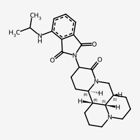 CC(C)Nc1cccc2c1C(=O)N(C1CC[C@@H]3[C@H]4CCCN5CCC[C@@H](CN3C1=O)[C@@H]45)C2=O